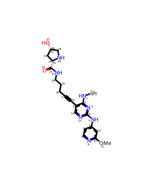 CCCNc1nc(Nc2ccnc(OC)c2)ncc1C#CCCCNC(=O)[C@@H]1C[C@H](O)CN1